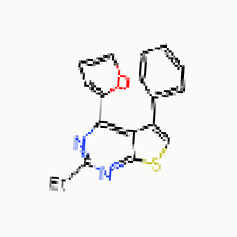 CCc1nc(-c2ccco2)c2c(-c3ccccc3)csc2n1